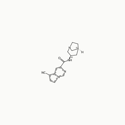 N#Cc1ccn2cnc(C(=O)N[C@@H]3C[C@@H]4CCN(C4)C3)cc12